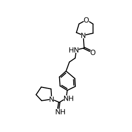 N=C(Nc1ccc(CCNC(=O)N2CCOCC2)cc1)N1CCCC1